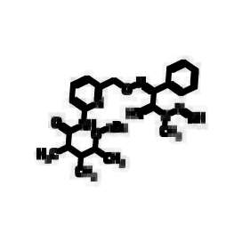 CCCCOC(C)C(C)C(C)C(=O)Nc1cccc(CO/N=C(\C(=N)N(C)N=N)c2ccccc2)n1